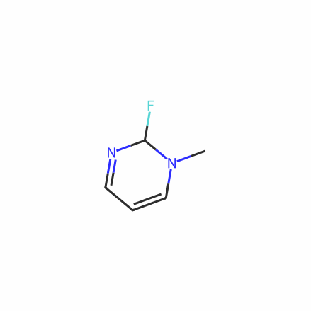 CN1C=CC=NC1F